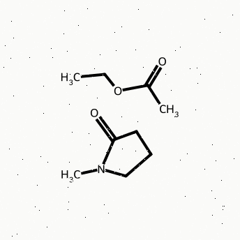 CCOC(C)=O.CN1CCCC1=O